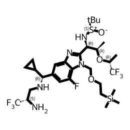 C[C@@H](O[C@H](C)C(F)(F)F)[C@H](N[S@+]([O-])C(C)(C)C)c1nc2cc([C@H](NC[C@H](N)C(F)(F)F)C3CC3)cc(F)c2n1COCC[Si](C)(C)C